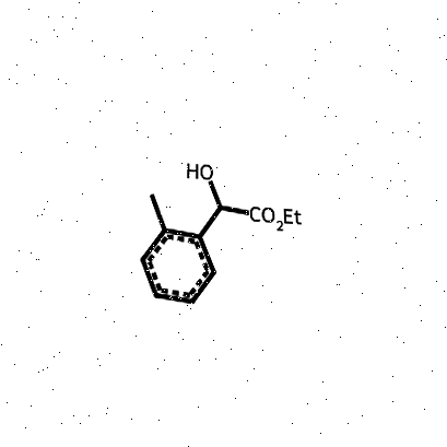 CCOC(=O)C(O)c1ccccc1C